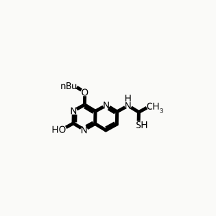 CCCCOc1nc(O)nc2ccc(NC(C)S)nc12